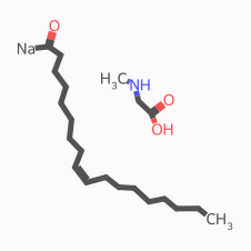 CCCCCCCC/C=C\CCCCCCC[C](=O)[Na].CNCC(=O)O